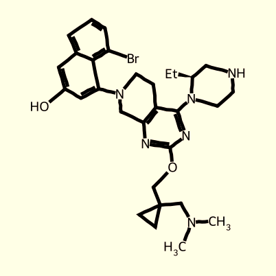 CC[C@H]1CNCCN1c1nc(OCC2(CN(C)C)CC2)nc2c1CCN(c1cc(O)cc3cccc(Br)c13)C2